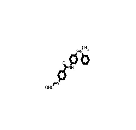 CN(Sc1ccc(NC(=O)c2ccc(SCC=O)cc2)cc1)c1ccccc1